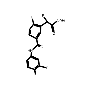 COC(=O)C(F)c1cc(C(=O)Nc2ccc(F)c(F)c2)ccc1F